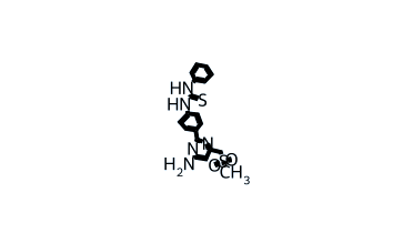 CS(=O)(=O)Cc1cc(N)nc(-c2ccc(NC(=S)Nc3ccccc3)cc2)n1